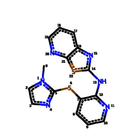 Cn1ccnc1Sc1cccnc1Nc1nc2cccnc2s1